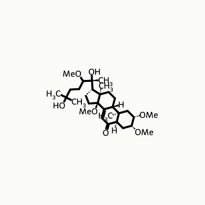 COC(CCC(C)(C)O)[C@](C)(O)[C@H]1CC[C@@]2(OC)C3=CC(=O)[C@@H]4C[C@@H](OC)[C@@H](OC)C[C@]4(C)[C@H]3CC[C@]12C